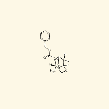 B[C@@H]1OC2C(C(=O)OCc3ccccc3)CC3C1OC3(C)[C@H]2C